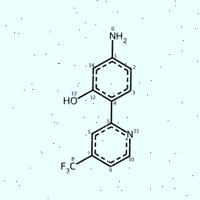 Nc1ccc(-c2cc(C(F)(F)F)ccn2)c(O)c1